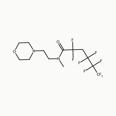 CN(CCN1CCOCC1)C(=O)C(F)(F)CC(F)(F)C(F)(F)C(F)(F)F